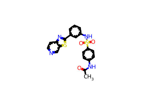 CC(=O)Nc1ccc(S(=O)(=O)Nc2cccc(-c3nc4ccncc4s3)c2)cc1